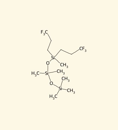 C[Si](C)(C)O[Si](C)(C)O[Si](C)(CCC(F)(F)F)CCC(F)(F)F